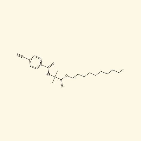 C#Cc1ccc(C(=O)NC(C)(C)C(=O)OCCCCCCCCCC)cc1